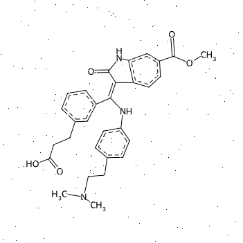 COC(=O)c1ccc2c(c1)NC(=O)C2=C(Nc1ccc(CCN(C)C)cc1)c1cccc(CCC(=O)O)c1